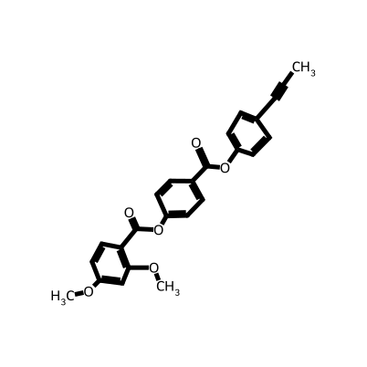 CC#Cc1ccc(OC(=O)c2ccc(OC(=O)c3ccc(OC)cc3OC)cc2)cc1